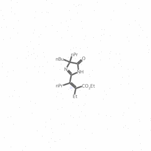 CCCCC1(CCC)N=C(/C(CCC)=C(/CC)C(=O)OCC)NC1=O